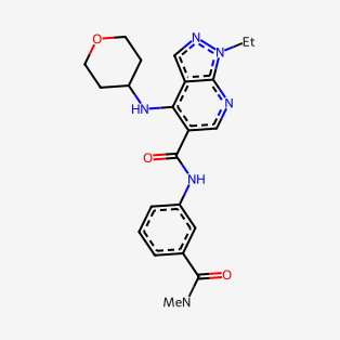 CCn1ncc2c(NC3CCOCC3)c(C(=O)Nc3cccc(C(=O)NC)c3)cnc21